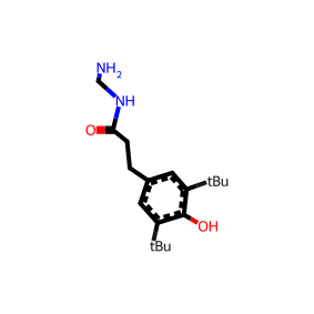 CC(C)(C)c1cc(CCC(=O)NCN)cc(C(C)(C)C)c1O